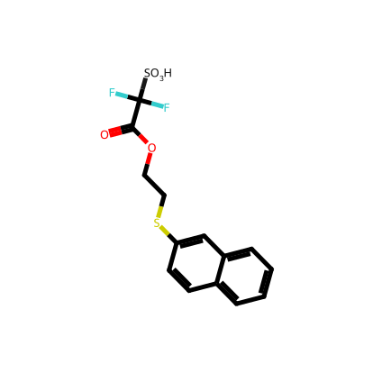 O=C(OCCSc1ccc2ccccc2c1)C(F)(F)S(=O)(=O)O